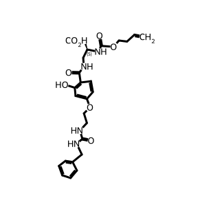 C=CCCOC(=O)N[C@@H](CNC(=O)c1ccc(OCCNC(=O)NCc2ccccc2)cc1O)C(=O)O